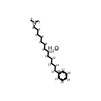 CN(C)CCCCCCCCCCCCCc1ccccc1.O